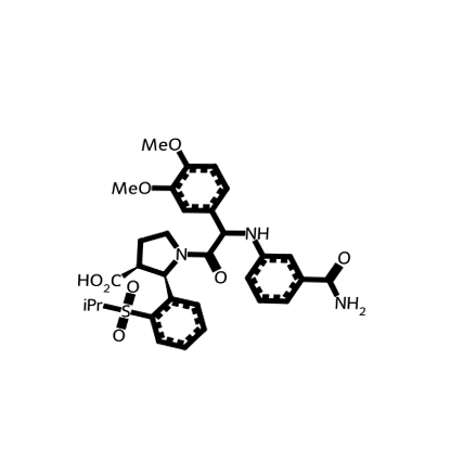 COc1ccc(C(Nc2cccc(C(N)=O)c2)C(=O)N2CC[C@H](C(=O)O)[C@@H]2c2ccccc2S(=O)(=O)C(C)C)cc1OC